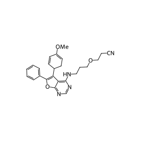 COC1=CCC(c2c(-c3ccccc3)oc3ncnc(NCCCOCCC#N)c23)C=C1